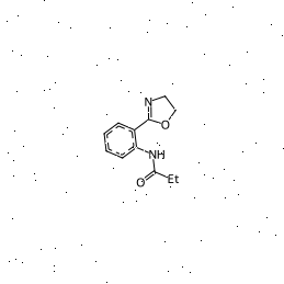 CCC(=O)Nc1ccccc1C1=NCCO1